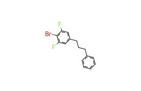 Fc1cc(CCCc2ccccc2)cc(F)c1Br